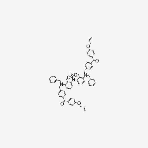 C=CCOc1ccc(C(=O)c2ccc(CN(Cc3ccccc3)c3cccc(N(c4cccc(N(Cc5ccccc5)Cc5ccc(C(=O)c6ccc(OCC=C)cc6)cc5)c4C)S(C)(=O)=O)c3C)cc2)cc1